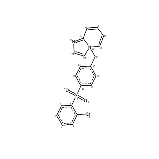 CCc1ccccc1S(=O)(=O)c1ccc(C[N+]23C=CC=CC2=NC=C3)cc1